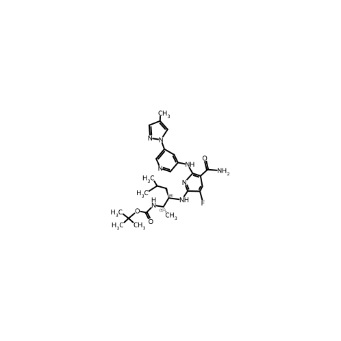 Cc1cnn(-c2cncc(Nc3nc(N[C@H](CC(C)C)[C@H](C)NC(=O)OC(C)(C)C)c(F)cc3C(N)=O)c2)c1